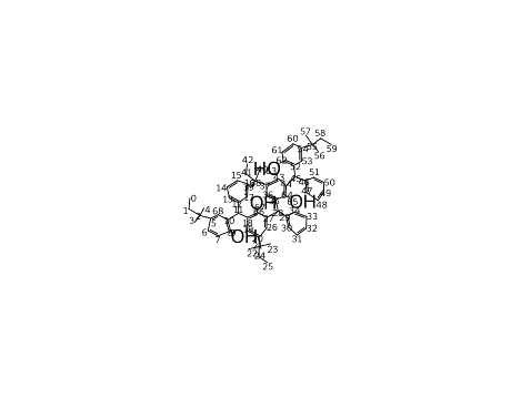 CCC(C)(C)c1ccc(O)c(C(c2ccccc2)c2cc(C(C)(C)CC)cc(C(c3ccccc3)c3cc(C(C)(C)CC)cc(C(c4ccccc4)c4cc(C(C)(C)CC)ccc4O)c3O)c2O)c1